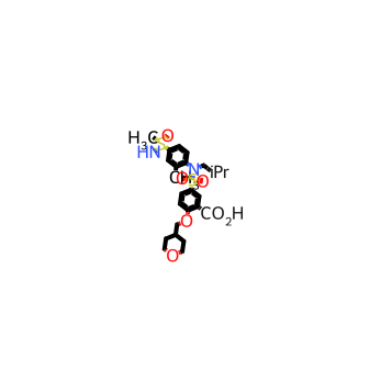 Cc1cc(S(C)(=N)=O)ccc1N(CC(C)C)S(=O)(=O)c1ccc(OCC2CCOCC2)c(C(=O)O)c1